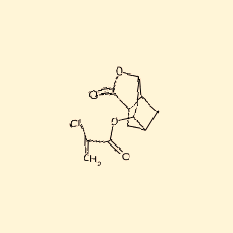 C=C(Cl)C(=O)OC1C2CC3C(=O)OC1C3C2